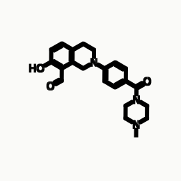 CN1CCN(C(=O)c2ccc(N3CCc4ccc(O)c(C=O)c4C3)cc2)CC1